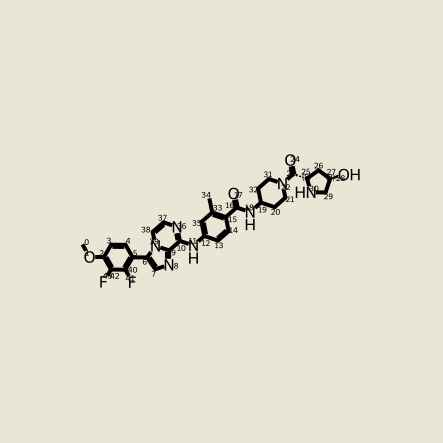 COc1ccc(-c2cnc3c(Nc4ccc(C(=O)NC5CCN(C(=O)[C@@H]6C[C@@H](O)CN6)CC5)c(C)c4)nccn23)c(F)c1F